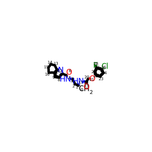 C=C(CCNC(=O)c1ccc2c(n1)CCCC2)NC(=O)COc1ccc(Cl)c(F)c1